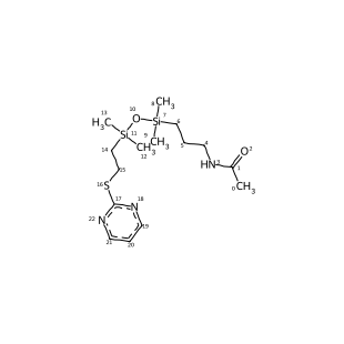 CC(=O)NCCC[Si](C)(C)O[Si](C)(C)CCSc1ncccn1